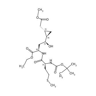 CCOC(=O)[C@@H](C[C@H](O)[C@@H]1C[C@H]1CC(=O)OC)NC(=O)[C@H](CCSC)NC(=O)OC(C)(C)C